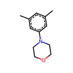 Cc1[c]c(C)cc(N2CCOCC2)c1